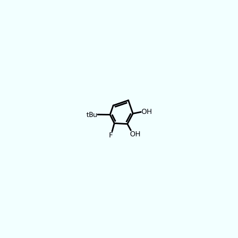 CC(C)(C)c1ccc(O)c(O)c1F